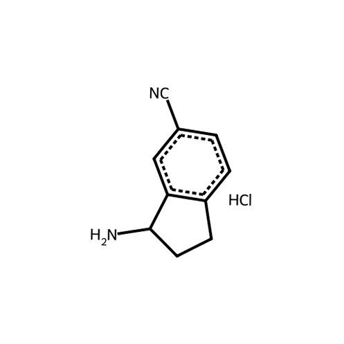 Cl.N#Cc1ccc2c(c1)C(N)CC2